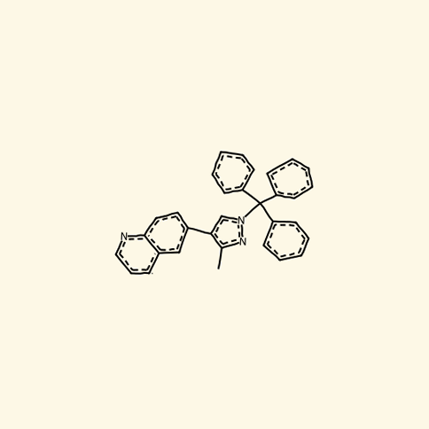 Cc1nn(C(c2ccccc2)(c2ccccc2)c2ccccc2)cc1-c1ccc2ncc[c]c2c1